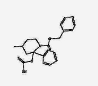 CC1CCN(C(=O)OCc2ccccc2)C(OC(=S)S)(c2ccccc2)C1